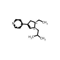 CC[C@@H]1CC(c2ccncc2)=C[C@@H]1CC(C)C